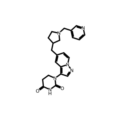 O=C1CCN(c2cnn3ccc(CC4CCN(Cc5cccnc5)C4)cc23)C(=O)N1